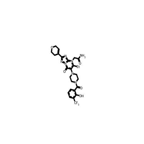 CCc1c(N2CCN(C(=O)c3cccc(C(F)(F)F)c3O)CC2)c(=O)n2nc(C3=CCOCC3)nc2n1CC(N)=O